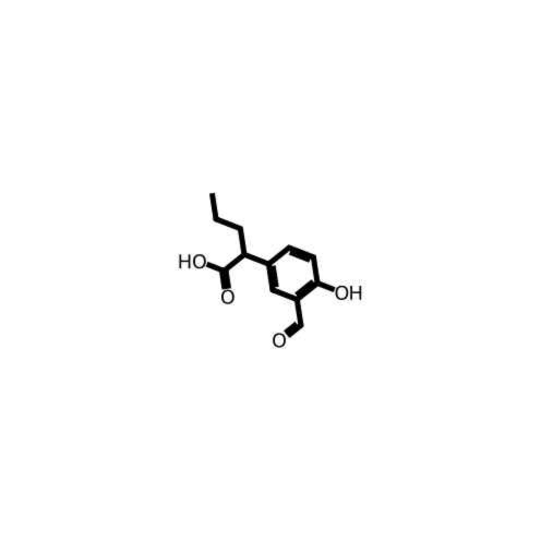 CCCC(C(=O)O)c1ccc(O)c(C=O)c1